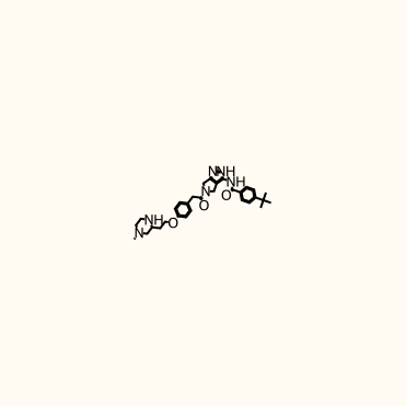 CN1CCNC(CCOc2ccc(CC(=O)N3Cc4n[nH]c(NC(=O)c5ccc(C(C)(C)C)cc5)c4C3)cc2)C1